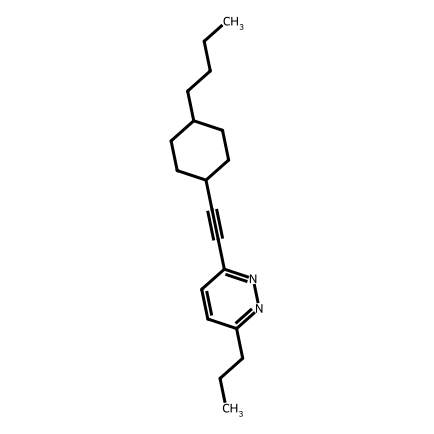 CCCCC1CCC(C#Cc2ccc(CCC)nn2)CC1